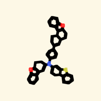 C1=CC2c3c(oc4ccccc34)C=CC2C=C1c1ccc(N(C2=CCC3C(=C2)Sc2ccccc23)C2=Cc3c(oc4ccccc34)CC2)cc1